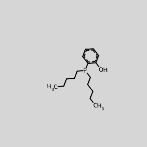 CCCCCP(CCCCC)c1ccccc1O